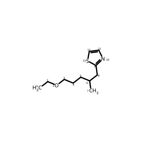 CCOCCCC(C)Cc1nccs1